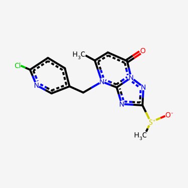 Cc1cc(=O)n2nc([S+](C)[O-])nc2n1Cc1ccc(Cl)nc1